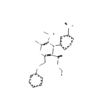 CCOC(=O)C1=C(C[Se]c2ccccc2)NC(C)=C([N+](=O)[O-])C1c1cccc([N+](=O)[O-])c1